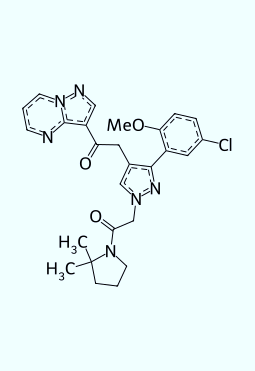 COc1ccc(Cl)cc1-c1nn(CC(=O)N2CCCC2(C)C)cc1CC(=O)c1cnn2cccnc12